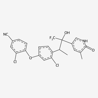 Cc1cc(C(O)(C(C)c2ccc(Oc3ccc(C#N)cc3Cl)cc2Cl)C(F)(F)F)c[nH]c1=O